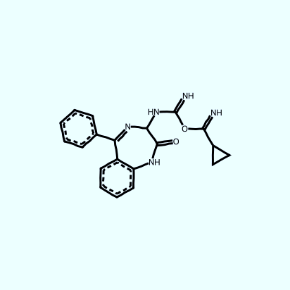 N=C(NC1N=C(c2ccccc2)c2ccccc2NC1=O)OC(=N)C1CC1